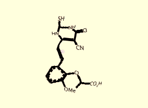 COc1cccc(/C=C/C2=C(C#N)C(=O)NC(S)N2)c1OC(C)C(=O)O